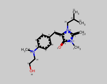 C=c1n(C)c(=O)/c(=C\c2ccc(N(C)CCO)cc2)n1CC(C)C